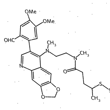 COc1cc(C=O)c(-c2cnc3cc4c(cc3c2N(C)CCN(C)C(=O)CCC(C)SSC)OCO4)cc1OC